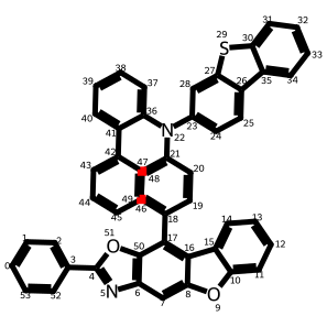 c1ccc(-c2nc3cc4oc5ccccc5c4c(-c4ccc(N(c5ccc6c(c5)sc5ccccc56)c5ccccc5-c5ccccc5)cc4)c3o2)cc1